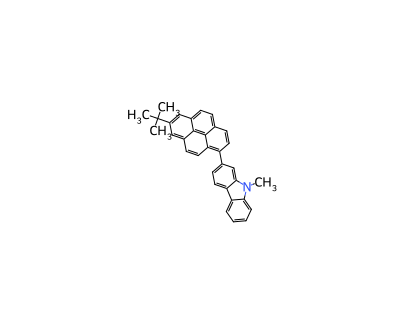 Cn1c2ccccc2c2ccc(-c3ccc4ccc5cc(C(C)(C)C)cc6ccc3c4c56)cc21